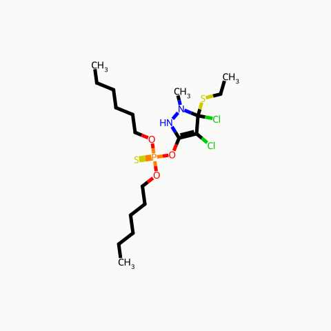 CCCCCCOP(=S)(OCCCCCC)OC1=C(Cl)C(Cl)(SCC)N(C)N1